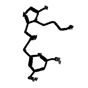 CCc1cnc(CNCc2cc(C(=O)O)cc(C)n2)n1CCCC(C)C